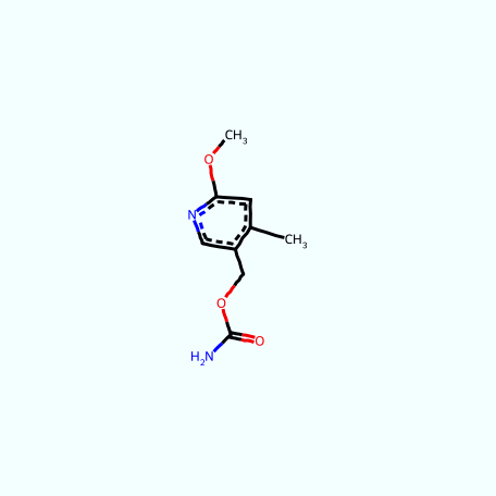 COc1cc(C)c(COC(N)=O)cn1